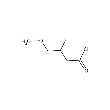 COCC(Cl)CC(=O)Cl